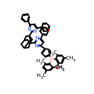 Cc1cc(C)c(B(c2ccc(-c3cc(-c4ccccc4)nc(C45CC6CC(CC(c7nc(-c8ccccc8)cc(-c8ccccc8)n7)(C6)C4)C5)n3)cc2)c2c(C)cc(C)cc2C)c(C)c1